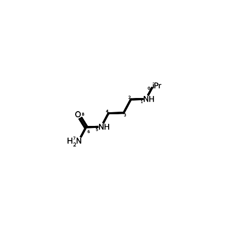 CC(C)NCCCNC(N)=O